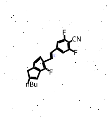 CCCCC1=Cc2c(ccc(/C=C/c3cc(F)c(C#N)c(F)c3)c2F)C1